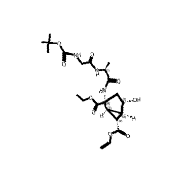 C=COC(=O)[C@H]1[C@H]2[C@@H]1[C@@](NC(=O)[C@H](C)NC(=O)CNC(=O)OC(C)(C)C)(C(=O)OCC)C[C@@H]2O